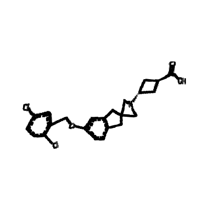 O=C(O)[C@H]1C[C@H](N2CC3(Cc4ccc(OCc5cc(Cl)ccc5Cl)cc4C3)C2)C1